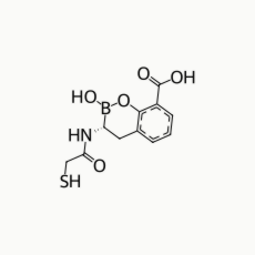 O=C(CS)N[C@H]1Cc2cccc(C(=O)O)c2OB1O